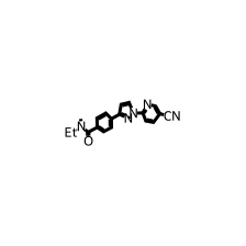 CCN(C)C(=O)c1ccc(-c2ccn(-c3ccc(C#N)cn3)n2)cc1